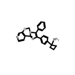 NC1(c2ccc(-c3nc4n(c3-c3ccccc3)COc3cnccc3-4)cc2)CCC1